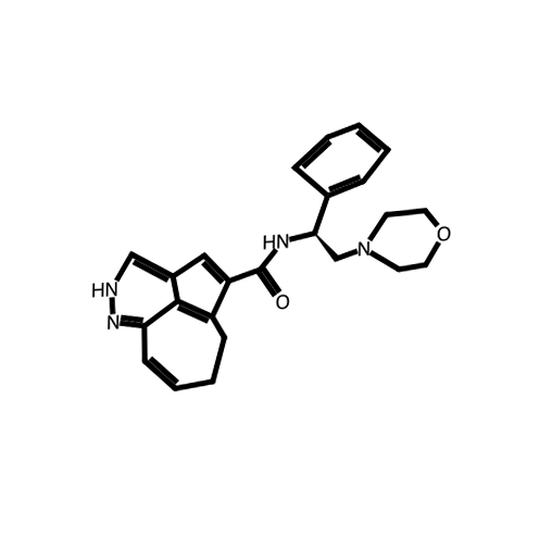 O=C(N[C@H](CN1CCOCC1)c1ccccc1)c1cc2c[nH]nc3c-2c1CCC=C3